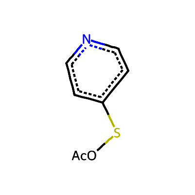 CC(=O)OSc1ccncc1